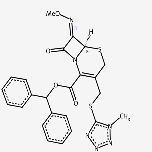 CO/N=C1\C(=O)N2C(C(=O)OC(c3ccccc3)c3ccccc3)=C(CSc3nnnn3C)CS[C@H]12